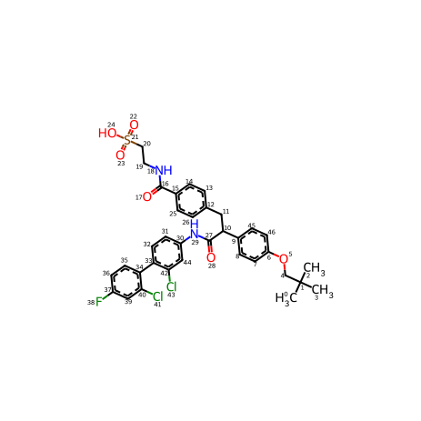 CC(C)(C)COc1ccc(C(Cc2ccc(C(=O)NCCS(=O)(=O)O)cc2)C(=O)Nc2ccc(-c3ccc(F)cc3Cl)c(Cl)c2)cc1